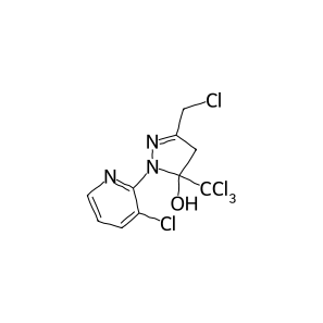 OC1(C(Cl)(Cl)Cl)CC(CCl)=NN1c1ncccc1Cl